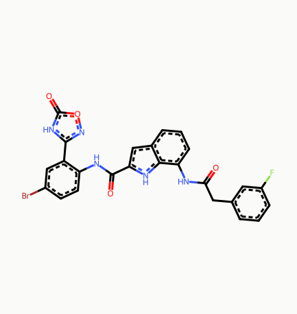 O=C(Cc1cccc(F)c1)Nc1cccc2cc(C(=O)Nc3ccc(Br)cc3-c3noc(=O)[nH]3)[nH]c12